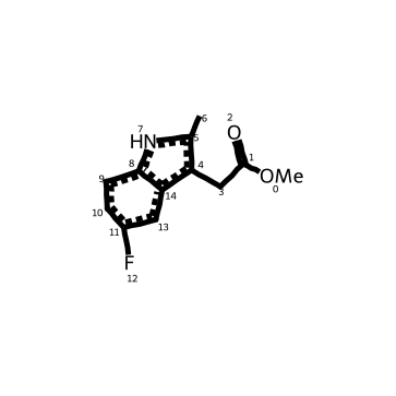 COC(=O)Cc1c(C)[nH]c2ccc(F)cc12